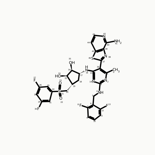 Cc1nc(NCc2c(F)cccc2F)nc(N[C@@H]2C[C@H](CS(=O)(=O)c3cc(F)cc(F)c3)[C@@H](O)[C@H]2O)c1-c1nc2c(N)nccc2s1